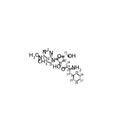 CN(C)c1ncnc2c1ccn2[C@@H]1O[C@H](CO)[C@H](CC(=O)[C@@H](N)Cc2ccccc2)C1O